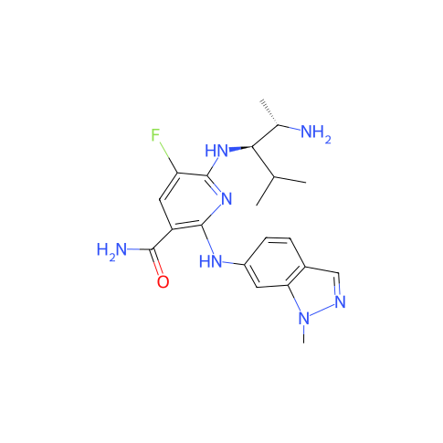 CC(C)[C@@H](Nc1nc(Nc2ccc3cnn(C)c3c2)c(C(N)=O)cc1F)[C@H](C)N